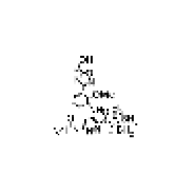 BC(B)(B)NC(=O)c1nnc(NC(=O)C2CC2)cc1Nc1cccc(-c2noc([C@H](C)O)n2)c1OC